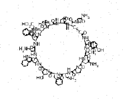 CCCC[C@H]1C(=O)N(C)[C@@H](CCCC)C(=O)N[C@@H](CC(C)C)C(=O)N[C@H](C(=O)NCC(N)=O)CSCC(=O)N[C@@H](Cc2ccc(O)cc2)C(=P)N(C)[C@@H](C)C(=O)N[C@@H](CC(N)=O)C(=O)N2CCCC2C(=O)N[C@@H](CN)C(=O)N[C@@H](Cc2ccccc2)C(=O)N2C[C@H](O)C[C@H]2C(=O)N[C@@H](Cc2c[nH]c3ccccc23)C(=O)N[C@@H](CCN)C(=O)N[C@@H](Cc2cn(CC(=O)O)c3ccccc23)C(=O)N1C